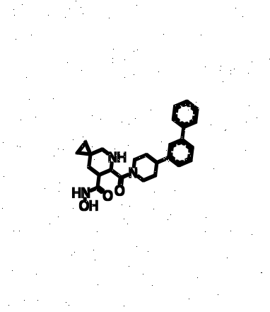 O=C(NO)C1CC2(CC2)CNC1C(=O)N1CCC(c2cccc(-c3ccccc3)c2)CC1